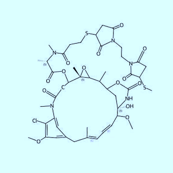 COc1cc2cc(c1Cl)N(C)C(=O)CC(OC(=O)[C@H](C)N(C)C(=O)CCSC1CC(=O)N(CCN3C(=O)CC(SC)C3=O)C1=O)[C@]1(C)OC1C(C)C1C[C@@](O)(NC(=O)O1)C(OC)/C=C/C=C(\C)C2